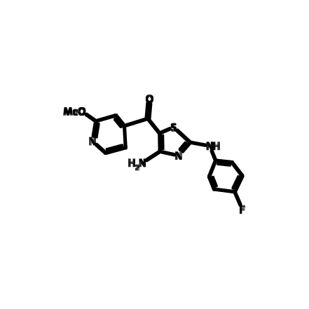 COc1cc(C(=O)c2sc(Nc3ccc(F)cc3)nc2N)ccn1